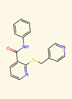 O=C(Nc1ccccc1)c1cccnc1SCc1ccncc1